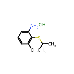 Cc1cccc(N)c1SC(C)C.Cl